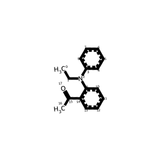 CCN(c1ccccc1)c1ccccc1C(C)=O